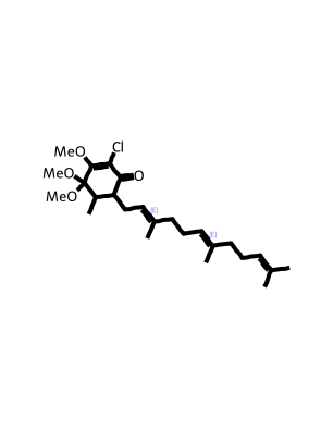 COC1=C(Cl)C(=O)C(C/C=C(\C)CC/C=C(\C)CCC=C(C)C)C(C)C1(OC)OC